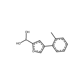 Cc1ccccc1-c1coc(B(O)O)c1